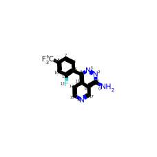 Nc1nnc(-c2ccc(C(F)(F)F)cc2F)c2ccncc12